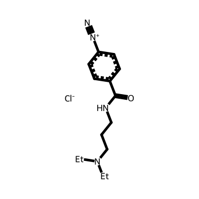 CCN(CC)CCCNC(=O)c1ccc([N+]#N)cc1.[Cl-]